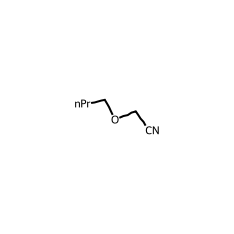 CCCCOCC#N